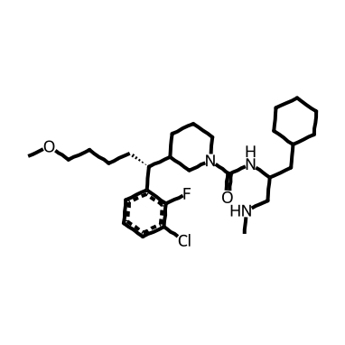 CNCC(CC1CCCCC1)NC(=O)N1CCCC([C@@H](CCCCOC)c2cccc(Cl)c2F)C1